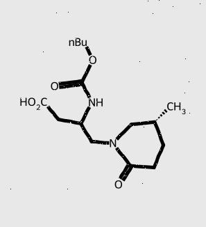 CCCCOC(=O)NC(CC(=O)O)CN1C[C@H](C)CCC1=O